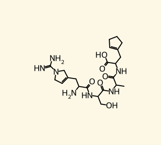 CC(NC(=O)C(CO)NC(=O)C(N)CC1=CCN(C(=N)N)C1)C(=O)NC(CC1=CCCC1)C(=O)O